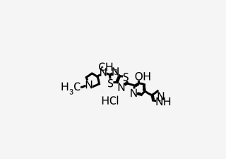 CCN1CCC(N(C)c2nc3sc(-c4ncc(-c5cn[nH]c5)cc4O)nc3s2)CC1.Cl